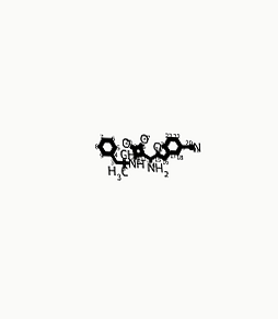 CC(C)(Cc1ccccc1)Nc1c(C(N)c2cc3cc(C#N)ccc3o2)c(=O)c1=O